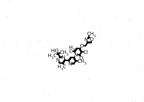 Cc1nc(COc2cc(C)n(-c3cc(-c4nc(C(C)(C)O)ncc4C)ncc3C)c(=O)c2Cl)co1